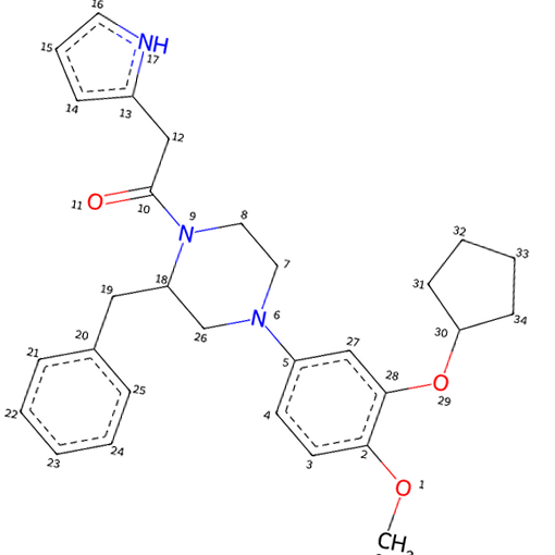 COc1ccc(N2CCN(C(=O)Cc3ccc[nH]3)C(Cc3ccccc3)C2)cc1OC1CCCC1